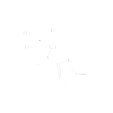 CC(C)(C)NC(=O)c1csc(F)n1